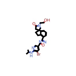 CC(C)Nc1ncc(-c2nc(-c3cccc4c3CCC43CC(=O)N(CCO)C3)no2)cc1Br